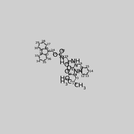 CC(C)C[C@H](NC(=O)[C@H](Cc1ccccc1)NC(=O)CNC(=O)OCC1c2ccccc2-c2ccccc21)C(=O)O